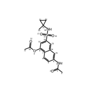 CC(=O)Nc1ccc2c(OC(C)=O)cc(S(=O)(=O)NC3(C)CC3)cc2c1